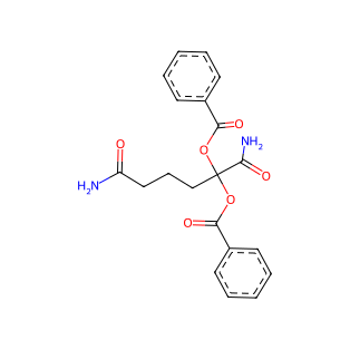 NC(=O)CCCC(OC(=O)c1ccccc1)(OC(=O)c1ccccc1)C(N)=O